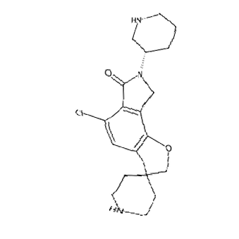 O=C1c2c(Cl)cc3c(c2CN1[C@H]1CCCNC1)OCC31CCNCC1